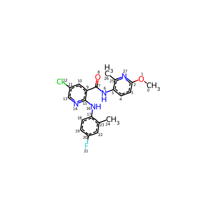 COc1ccc(NC(=O)c2cc(Cl)cnc2Nc2ccc(F)cc2C)c(C)n1